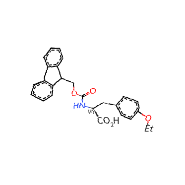 CCOc1ccc(C[C@H](NC(=O)OCC2c3ccccc3-c3ccccc32)C(=O)O)cc1